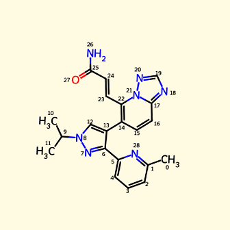 Cc1cccc(-c2nn(C(C)C)cc2-c2ccc3ncnn3c2/C=C/C(N)=O)n1